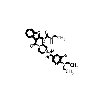 CCNC(=O)Nc1sc2ccccc2c1C(=O)N1CCN(S(=O)(=O)c2cnc(N(CC)CC)c(Br)c2)CC1